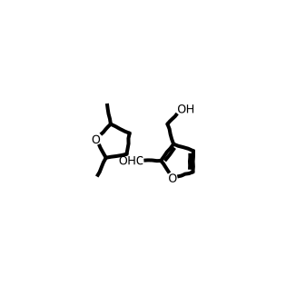 CC1CCC(C)O1.O=Cc1occc1CO